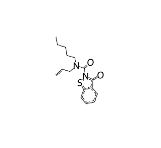 C=CCN(CCCCC)C(=O)n1sc2ccccc2c1=O